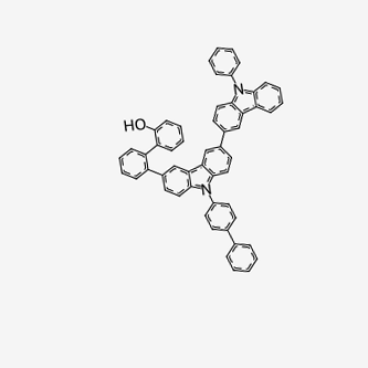 Oc1ccccc1-c1ccccc1-c1ccc2c(c1)c1cc(-c3ccc4c(c3)c3ccccc3n4-c3ccccc3)ccc1n2-c1ccc(-c2ccccc2)cc1